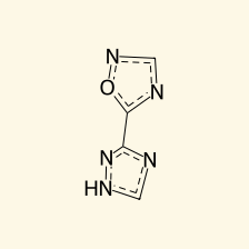 c1noc(-c2nc[nH]n2)n1